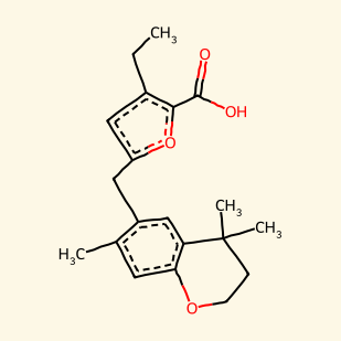 CCc1cc(Cc2cc3c(cc2C)OCCC3(C)C)oc1C(=O)O